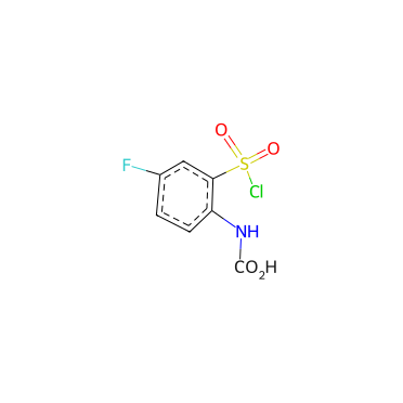 O=C(O)Nc1ccc(F)cc1S(=O)(=O)Cl